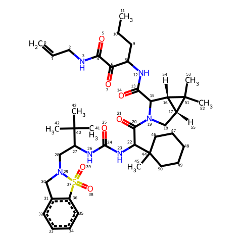 C=CCNC(=O)C(=O)C(CCC)NC(=O)C1[C@H]2[C@@H](CN1C(=O)C(NC(=O)NC(CN1Cc3ccccc3S1(=O)=O)C(C)(C)C)C1(C)CCCCC1)C2(C)C